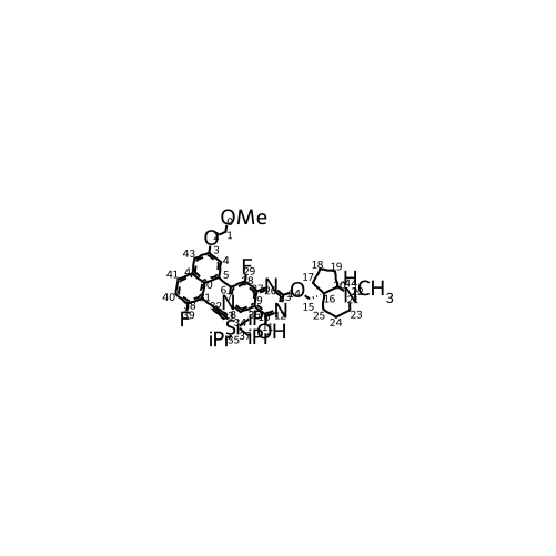 COCOc1cc(-c2ncc3c(O)nc(OC[C@]45CCC[C@H]4N(C)CCC5)nc3c2F)c2c(C#C[Si](C(C)C)(C(C)C)C(C)C)c(F)ccc2c1